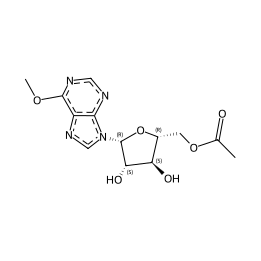 COc1ncnc2c1ncn2[C@@H]1O[C@H](COC(C)=O)[C@@H](O)[C@@H]1O